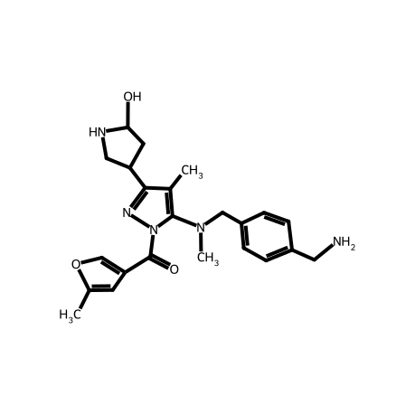 Cc1cc(C(=O)n2nc(C3CNC(O)C3)c(C)c2N(C)Cc2ccc(CN)cc2)co1